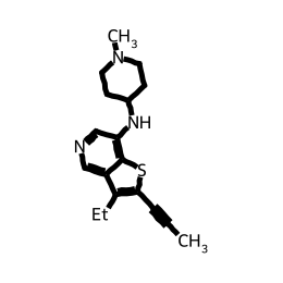 CC#Cc1sc2c(NC3CCN(C)CC3)cncc2c1CC